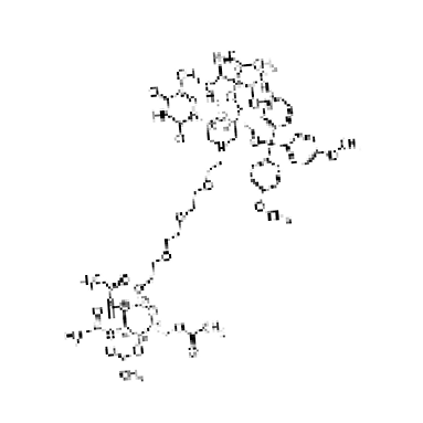 COc1ccc(C(OC[C@]2(CO[Si](C(C)C)(C(C)C)C(C)C)CN(CCOCCOCCOCCO[C@@H]3O[C@H](COC(C)=O)[C@H](OC(C)=O)[C@H](OC(C)=O)[C@H]3NC(C)=O)C[C@H](n3cc(C)c(=O)[nH]c3=O)O2)(c2ccccc2)c2ccc(OC)cc2)cc1